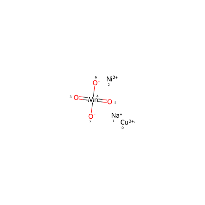 [Cu+2].[Na+].[Ni+2].[O]=[Mn](=[O])([O-])[O-]